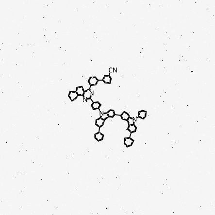 N#Cc1cccc(-c2cccc(-c3nc(-c4ccc(-n5c6ccc(-c7ccccc7)cc6c6cc(-c7ccc8c(c7)c7cc(-c9ccccc9)ccc7n8-c7ccccc7)ccc65)cc4)nc4c3ccc3ccccc34)c2)c1